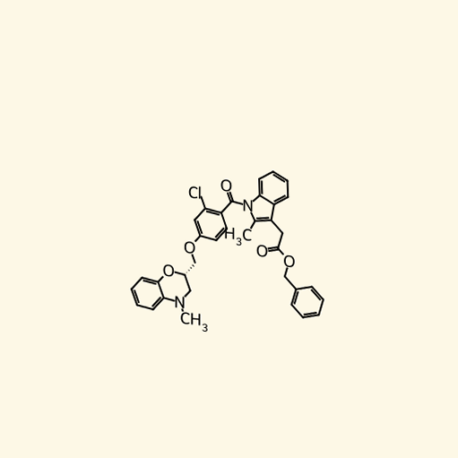 Cc1c(CC(=O)OCc2ccccc2)c2ccccc2n1C(=O)c1ccc(OC[C@@H]2CN(C)c3ccccc3O2)cc1Cl